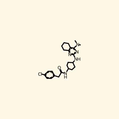 CN(C)c1nc(NC2CCC(NC(=O)Cc3ccc(Cl)cc3)CC2)nc2c1CCCC2